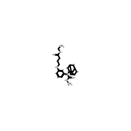 CCOC(=O)CCCOc1[c]c(N(C(=O)OC)C23CC4CC(CC(C4)C2)C3)ccc1